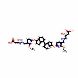 COc1nc(OC2CCc3c(-c4cccc5c4CCC5Oc4ccc(CNC[C@@H](O)CC(=O)O)c(OC)n4)cccc32)ccc1CNC[C@@H](O)CC(=O)O